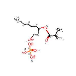 C=C(C)C(=O)OC(CCO)CCCCC.O=P(O)(O)O